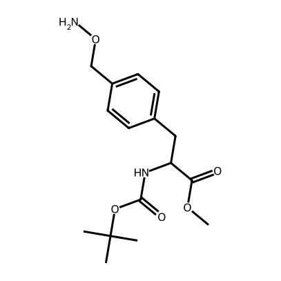 COC(=O)C(Cc1ccc(CON)cc1)NC(=O)OC(C)(C)C